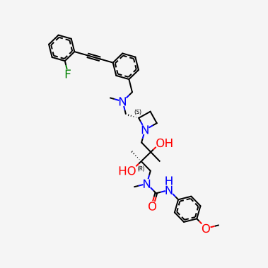 COc1ccc(NC(=O)N(C)C[C@@](C)(O)C(C)(O)CN2CC[C@H]2CN(C)Cc2cccc(C#Cc3ccccc3F)c2)cc1